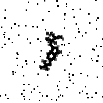 [2H]C([2H])([2H])Oc1ccc2c(CC([2H])([2H])N(C)C)c[nH]c2c1